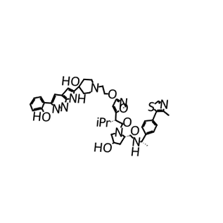 Cc1ncsc1-c1ccc([C@H](C)NC(=O)[C@@H]2C[C@@H](O)CN2C(=O)[C@@H](c2cc(OCCN3CCC(O)(c4cc5cc(-c6ccccc6O)nnc5[nH]4)CC3)no2)C(C)C)cc1